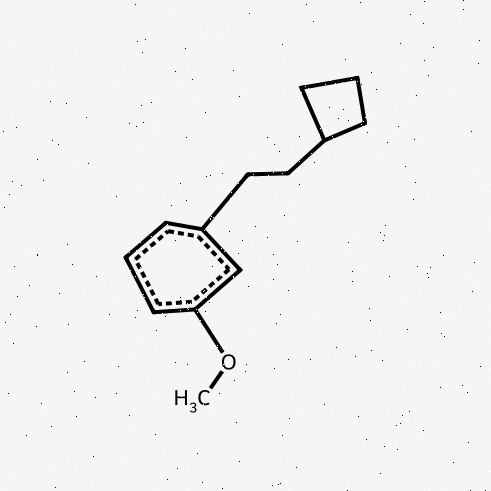 COc1cccc(CCC2CCC2)c1